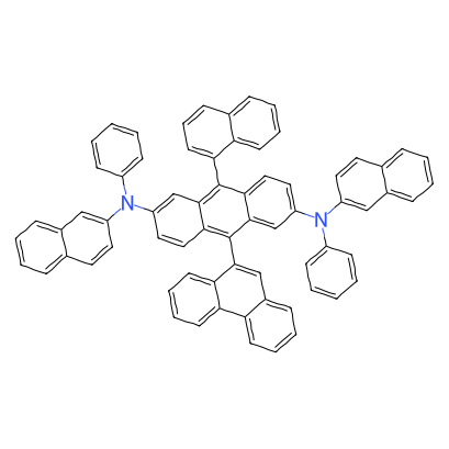 c1ccc(N(c2ccc3ccccc3c2)c2ccc3c(-c4cc5ccccc5c5ccccc45)c4cc(N(c5ccccc5)c5ccc6ccccc6c5)ccc4c(-c4cccc5ccccc45)c3c2)cc1